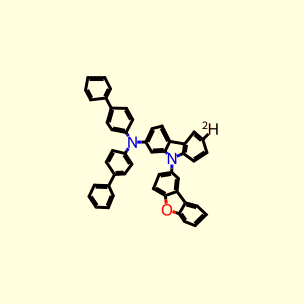 [2H]c1ccc2c(c1)c1ccc(N(c3ccc(-c4ccccc4)cc3)c3ccc(-c4ccccc4)cc3)cc1n2-c1ccc2oc3ccccc3c2c1